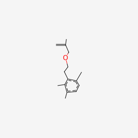 C=C(C)COCCc1c(C)ccc(C)c1C